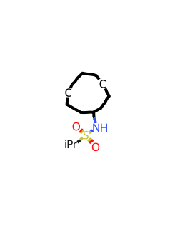 CC(C)S(=O)(=O)NC1CCCCCCCCC1